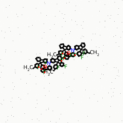 C=Cc1ccc(C2(c3cc(F)cc(F)c3F)c3ccccc3-c3ccc(N(c4ccc5c(c4)C(c4ccc(C=C)cc4)(c4cc(F)cc(F)c4F)c4ccccc4-5)c4cccc5c4oc4cc(-c6ccc7c(c6)C(c6ccc(C=C)cc6)(c6c(F)cc(F)cc6F)c6cc(N(c8ccc9c(c8)C(c8ccc(C=C)cc8)(c8c(F)cc(F)cc8F)c8ccccc8-9)c8cccc9c8oc8ccccc89)ccc6-7)ccc45)cc32)cc1